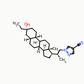 CC[C@@]1(O)CC[C@H]2[C@H](CC[C@@H]3[C@@H]2CC[C@]2(C)[C@@H]([C@H](C)Cn4cc(C#N)cn4)CC[C@@H]32)C1